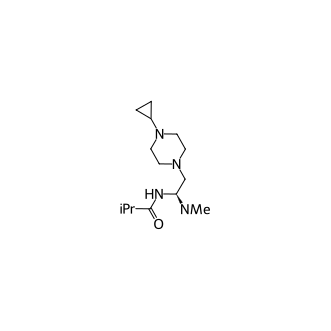 CN[C@H](CN1CCN(C2CC2)CC1)NC(=O)C(C)C